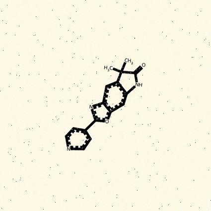 CC1(C)C(=O)Nc2cc3oc(-c4ccncc4)nc3cc21